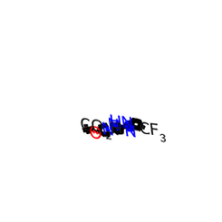 CC(C)(COC1CCN(c2ccc(-c3nc4cc(C(F)(F)F)ccc4[nH]3)cn2)CC1)C(=O)O